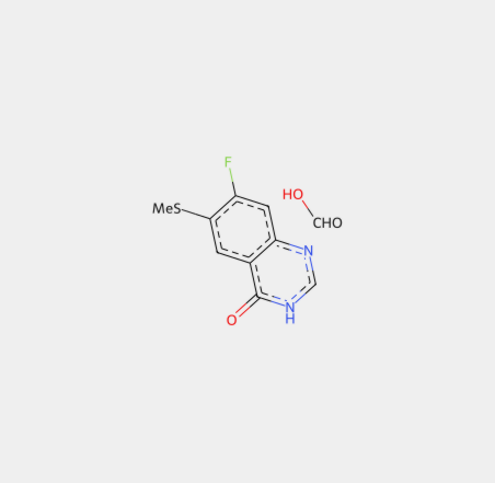 CSc1cc2c(=O)[nH]cnc2cc1F.O=CO